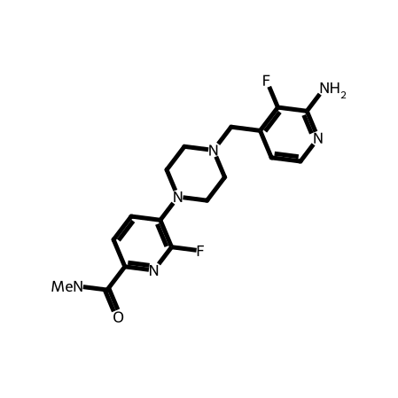 CNC(=O)c1ccc(N2CCN(Cc3ccnc(N)c3F)CC2)c(F)n1